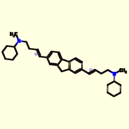 CN(CC/C=C/c1ccc2c(c1)Cc1cc(/C=C/CCN(C)C3CCCCC3)ccc1-2)C1CCCCC1